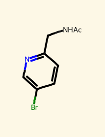 CC(=O)NCc1ccc(Br)cn1